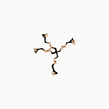 C(SSCC(CSSCC1CS1)(CSSCC1CS1)CSSCC1CS1)C1CS1